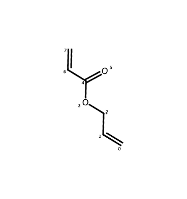 C=C[CH]OC(=O)C=C